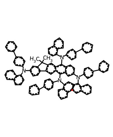 CC1(C)c2cc(N(c3ccc(-c4ccccc4)cc3)c3cccc4ccccc34)ccc2-c2cc3c(N(c4ccc(-c5ccccc5)cc4)c4cccc5ccccc45)c4cc(N(c5ccc(-c6ccccc6)cc5)c5cccc6ccccc56)ccc4c(N(c4ccc(-c5ccccc5)cc4)c4cccc5ccccc45)c3cc21